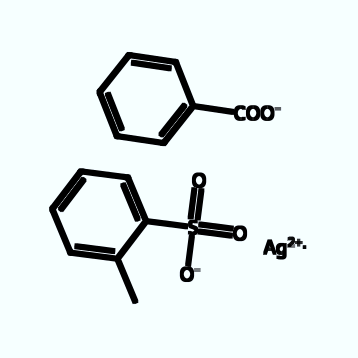 Cc1ccccc1S(=O)(=O)[O-].O=C([O-])c1ccccc1.[Ag+2]